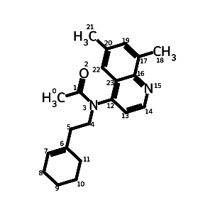 CC(=O)N(CCC1=CCCCC1)c1ccnc2c(C)cc(C)cc12